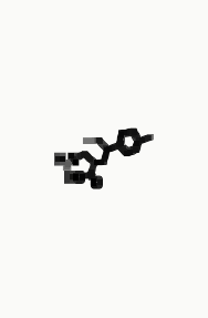 CCC(CC(CN)C(=O)O)c1ccc(C)cc1